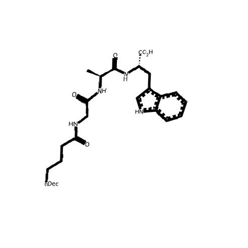 CCCCCCCCCCCCCC(=O)NCC(=O)N[C@@H](C)C(=O)N[C@@H](Cc1c[nH]c2ccccc12)C(=O)O